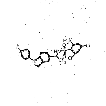 Nc1cc(Cl)cc(Cl)c1S(=O)(=O)NC(c1ccc2c(cnn2-c2ccc(F)cc2)c1)C(F)(F)F